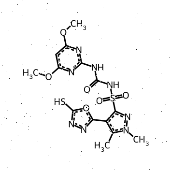 COc1cc(OC)nc(NC(=O)NS(=O)(=O)c2nn(C)c(C)c2-c2nnc(S)o2)n1